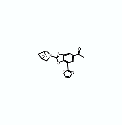 CC(=O)c1cc(-c2nccs2)c2oc(N3CC4CC(C3)N4)nc2c1